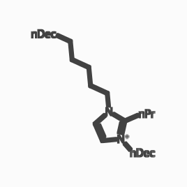 CCCCCCCCCCCCCCCn1cc[n+](CCCCCCCCCC)c1CCC